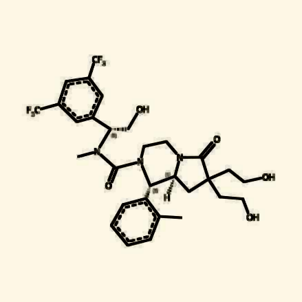 Cc1ccccc1[C@H]1[C@@H]2CC(CCO)(CCO)C(=O)N2CCN1C(=O)N(C)[C@@H](CO)c1cc(C(F)(F)F)cc(C(F)(F)F)c1